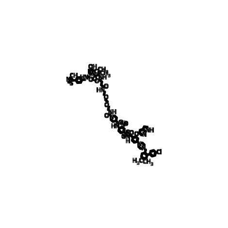 Cc1ncsc1-c1ccc(CNC(=O)[C@@H]2C[C@@H](O)CN2C(=O)C(NC(=O)CCC(=O)NCCOCCOCCNC(=O)N2CCC(CNc3ccc(S(=O)(=O)NC(=O)c4ccc(N5CCN(CC6=C(c7ccc(Cl)cc7)CC(C)(C)CC6)CC5)cc4Oc4cnc5[nH]ccc5c4)cc3[N+](=O)[O-])CC2)C(C)(C)C)cc1